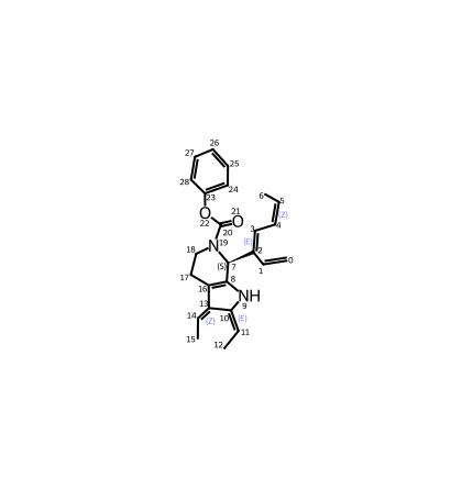 C=C/C(=C\C=C/C)[C@H]1c2[nH]c(=C/C)/c(=C\C)c2CCN1C(=O)Oc1ccccc1